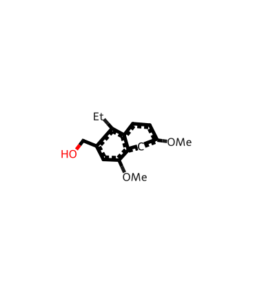 CCc1c(CO)cc(OC)c2cc(OC)ccc12